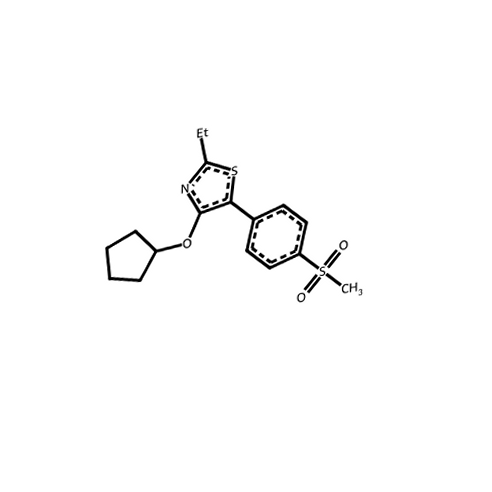 CCc1nc(OC2CCCC2)c(-c2ccc(S(C)(=O)=O)cc2)s1